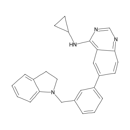 c1cc(CN2CCc3ccccc32)cc(-c2ccc3ncnc(NC4CC4)c3c2)c1